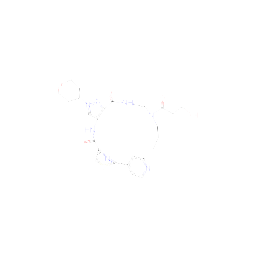 O=C1Nc2cn(C3CCOCC3)nc2C(=O)NCCN(C(=O)CCO)CCCc2cc(ccn2)-c2nc1cs2